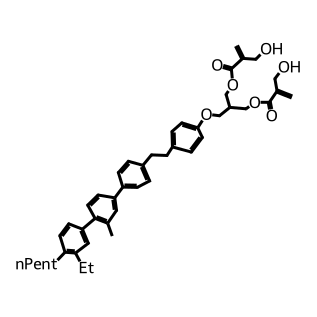 C=C(CO)C(=O)OCC(COC(=O)C(=C)CO)COc1ccc(CCc2ccc(-c3ccc(-c4ccc(CCCCC)c(CC)c4)c(C)c3)cc2)cc1